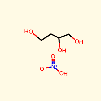 O=[N+]([O-])O.OCCC(O)CO